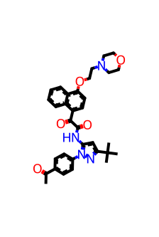 CC(=O)c1ccc(-n2nc(C(C)(C)C)cc2NC(=O)C(=O)c2ccc(OCCN3CCOCC3)c3ccccc23)cc1